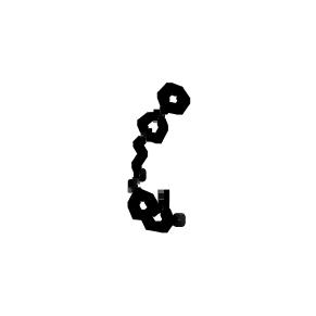 O=c1ccc2ccc(SOCCCN3CCN(c4ccccc4)CC3)cc2[nH]1